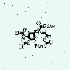 CCCC(C)C(=O)OC(C)CN[C@@H](Cc1ccc(OC(=O)CC)c(OC(=O)CC)c1)C(=O)OC